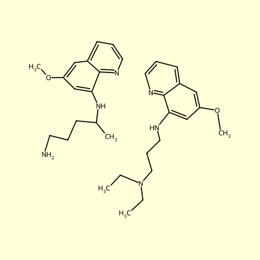 CCN(CC)CCCNc1cc(OC)cc2cccnc12.COc1cc(NC(C)CCCN)c2ncccc2c1